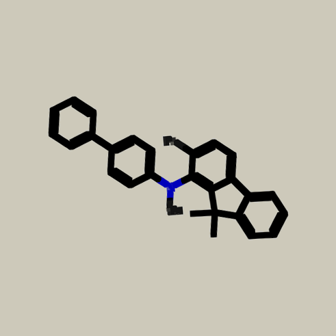 CC(C)c1ccc2c(c1N(c1ccc(-c3ccccc3)cc1)C(C)(C)C)C(C)(C)c1ccccc1-2